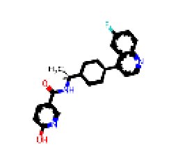 C[C@@H](NC(=O)c1ccc(O)nc1)C1CCC(c2ccnc3ccc(F)cc23)CC1